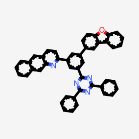 c1ccc(-c2nc(-c3ccccc3)nc(-c3cc(-c4ccc5oc6ccccc6c5c4)cc(-c4ccc5cc6ccccc6cc5n4)c3)n2)cc1